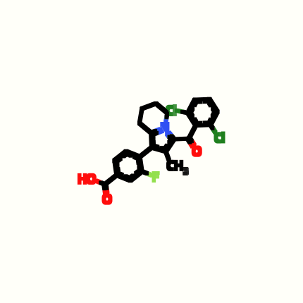 Cc1c(-c2ccc(C(=O)O)cc2F)c2n(c1C(=O)c1c(Cl)cccc1Cl)CCCC2